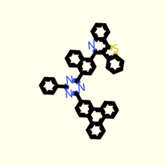 c1ccc(-c2nc(-c3ccc4c5ccccc5c5ccccc5c4c3)nc(-c3ccc(-c4nc5ccccc5c5sc6ccccc6c45)c4ccccc34)n2)cc1